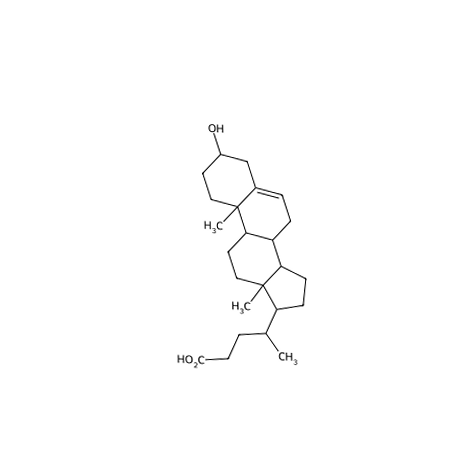 CC(CCC(=O)O)C1CCC2C3CC=C4CC(O)CCC4(C)C3CCC12C